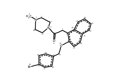 CN1CCN(C(=O)Cc2c(OCc3ccc(Br)cc3)ccc3ccccc23)CC1